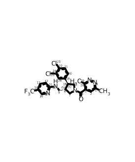 Cc1cc(C(=O)N2C[C@H](CNc3ccc(C(F)(F)F)cn3)[C@@H](c3ccc(Cl)c(Cl)c3)C2)c(C)nn1